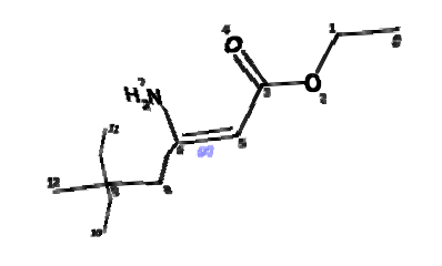 CCOC(=O)/C=C(\N)CC(C)(C)C